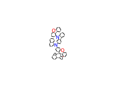 c1ccc2c(c1)Oc1cc(N(c3ccc4c5ccccc5n(-c5cccc6oc7ccccc7c56)c4c3)c3cccc4ccccc34)ccc1C21c2ccccc2-c2cccc3cccc1c23